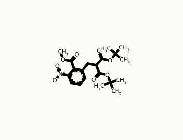 COC(=O)c1c(CC(C(=O)OC(C)(C)C)C(=O)OC(C)(C)C)cccc1[N+](=O)[O-]